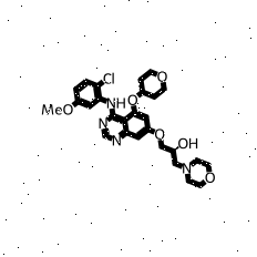 COc1ccc(Cl)c(Nc2ncnc3cc(OC[C@H](O)CN4CCOCC4)cc(OC4CCOCC4)c23)c1